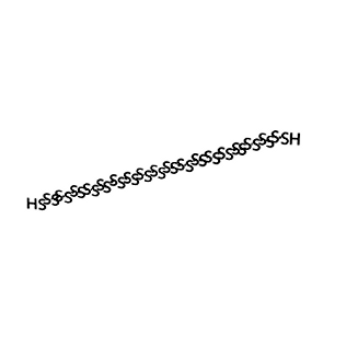 SSSSSSSSSSSSSSSSSSSSSSSSSSSSSSSSSSSSS